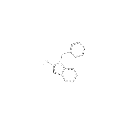 O=[N+]([O-])c1[c]c2ccccc2n1Cc1ccccc1